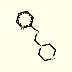 [CH](Oc1ccccn1)N1CCOCC1